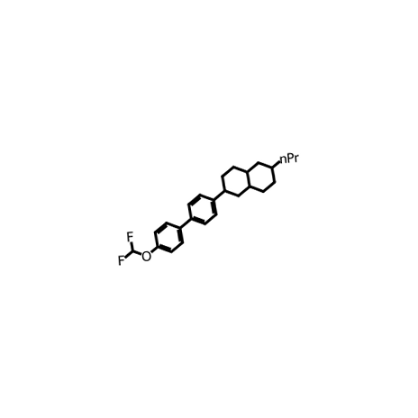 CCCC1CCC2CC(c3ccc(-c4ccc(OC(F)F)cc4)cc3)CCC2C1